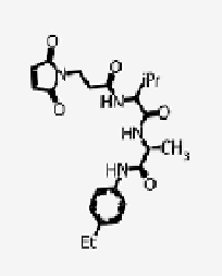 CCc1ccc(NC(=O)[C@H](C)NC(=O)C(NC(=O)CCN2C(=O)C=CC2=O)C(C)C)cc1